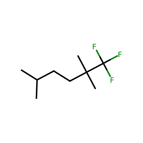 CC(C)CCC(C)(C)C(F)(F)F